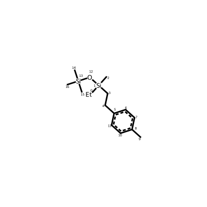 CC[Si](C)(CCc1ccc(C)cc1)O[Si](C)(C)C